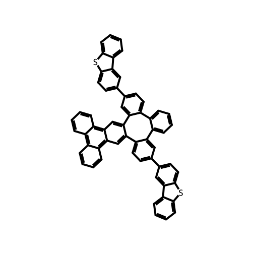 c1ccc2c(c1)-c1ccc(-c3ccc4sc5ccccc5c4c3)cc1-c1cc3c4ccccc4c4ccccc4c3cc1-c1ccc(-c3ccc4sc5ccccc5c4c3)cc1-2